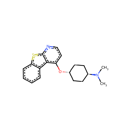 CN(C)[C@H]1CC[C@H](Oc2ccnc3sc4ccccc4c23)CC1